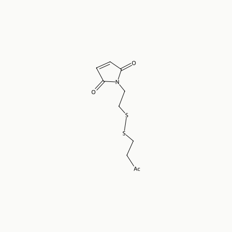 CC(=O)CCSSCCN1C(=O)C=CC1=O